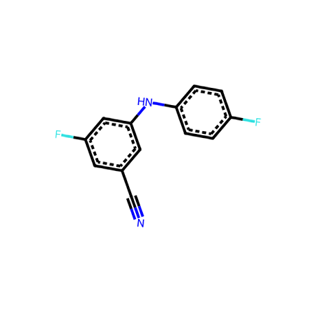 N#Cc1cc(F)cc(Nc2ccc(F)cc2)c1